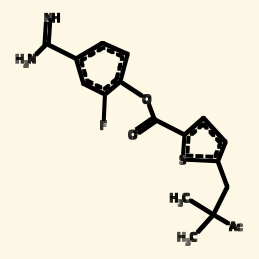 CC(=O)C(C)(C)Cc1ccc(C(=O)Oc2ccc(C(=N)N)cc2F)s1